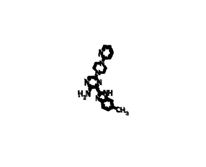 Cc1ccc2nc(-c3nc(N4CCN(c5ccccn5)CC4)cnc3N)[nH]c2c1